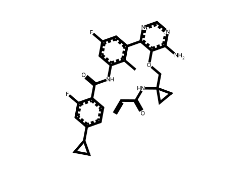 C=CC(=O)NC1(COc2c(N)ncnc2-c2cc(F)cc(NC(=O)c3ccc(C4CC4)cc3F)c2C)CC1